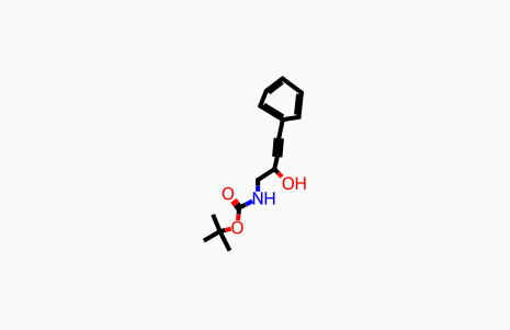 CC(C)(C)OC(=O)NCC(O)C#Cc1ccccc1